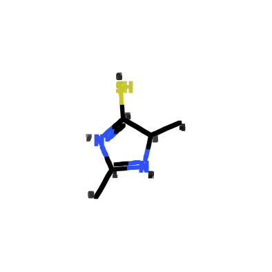 CC1=NC(C)C(S)=N1